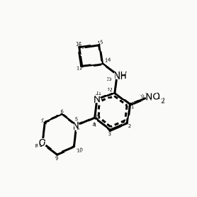 O=[N+]([O-])c1ccc(N2CCOCC2)nc1NC1CCC1